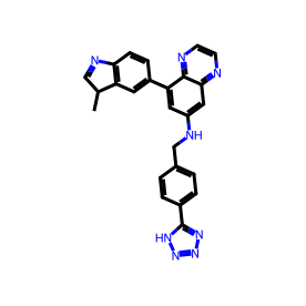 CC1C=Nc2ccc(-c3cc(NCc4ccc(-c5nnn[nH]5)cc4)cc4nccnc34)cc21